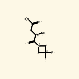 NC(=O)C[C@@H](N)C(=O)N1CC(F)(F)C1